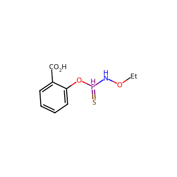 CCON[PH](=S)Oc1ccccc1C(=O)O